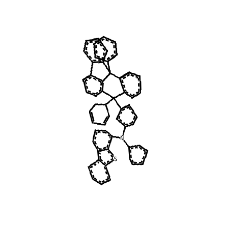 C1=CCC(C2(c3cccc(N(c4ccccc4)c4cccc5c4sc4ccccc45)c3)c3ccccc3C3(c4ccccc4)c4ccccc4-c4cccc2c43)C=C1